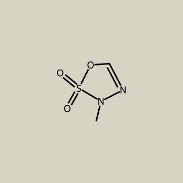 CN1N=COS1(=O)=O